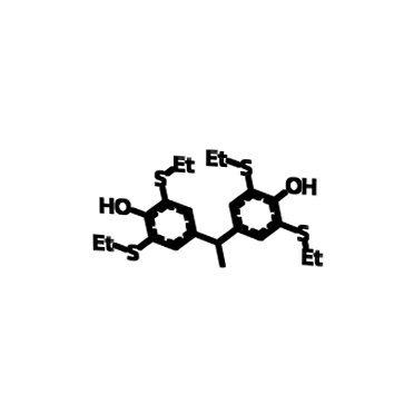 CCSc1cc(C(C)c2cc(SCC)c(O)c(SCC)c2)cc(SCC)c1O